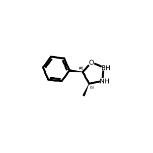 C[C@@H]1NBO[C@@H]1c1ccccc1